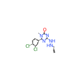 C#CCNNc1nc(-c2ccc(Cl)c(Cl)c2)n(C)c(=O)n1